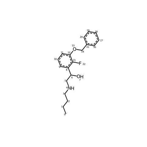 CCCCNCC(O)c1cccc(OCc2ccccc2)c1F